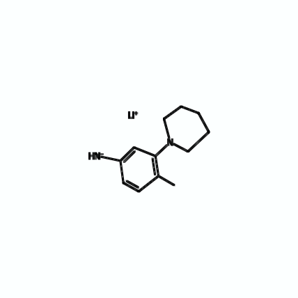 Cc1ccc([NH-])cc1N1CCCCC1.[Li+]